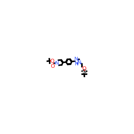 CC(C)(C)OC(=O)N1CC=C(c2ccc(-c3ncn(CCO[Si](C)(C)C(C)(C)C)n3)cc2)CC1